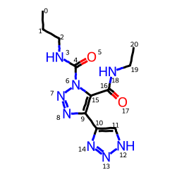 CCCNC(=O)n1nnc(-c2c[nH]nn2)c1C(=O)NCC